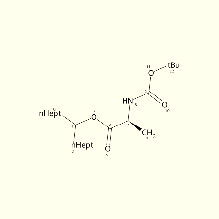 CCCCCCCC(CCCCCCC)OC(=O)[C@H](C)NC(=O)OC(C)(C)C